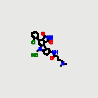 CN(C)CCCC(=O)Nc1ccc2c(c1)c1c3c(c(-c4ccccc4Cl)cc1n2C)C(=O)NC3=O.Cl